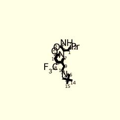 CC(C)CC(C(N)=O)n1cc(CCN2CC(C)(C)C2)c(C(F)(F)F)cc1=O